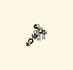 COc1nn(C2CCN(C(C)(C)C)CC2)cc1Nc1nc(-c2ccco2)nc2cn[nH]c12